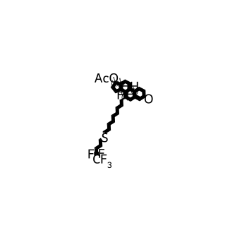 CC(=O)O[C@H]1CC[C@H]2[C@@H]3[C@H](CCCCCCCCCSCCCC(F)(F)C(F)(F)F)CC4=CC(=O)CC[C@@H]4[C@H]3CC[C@]12C